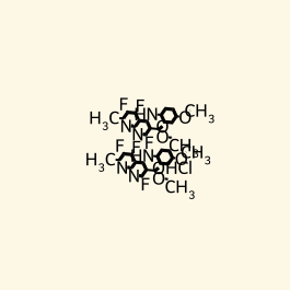 CCOC(=O)c1c(F)nc2nc(C)c(F)c(F)c2c1Nc1ccc(OC)cc1.CCOC(=O)c1c(F)nc2nc(C)c(F)c(F)c2c1Nc1ccc(OC)cc1.Cl